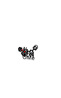 COc1ccc(CN2C3CC2CN(c2cnc(-c4cc(C5=CCOCC5)cn5ncc(C#N)c45)cn2)C3)cn1